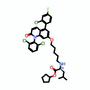 CC(C)C[C@H](NCCCCCOc1cc(-c2ccc(F)cc2Cl)c2ccc(=O)n(-c3c(Cl)cccc3Cl)c2c1)C(=O)OC1CCCC1